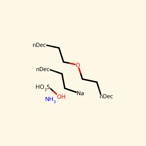 CCCCCCCCCCCCOCCCCCCCCCCCC.CCCCCCCCCCC[CH2][Na].N.O=S(=O)(O)O